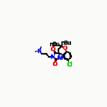 CCCCC1(CCCC)CC2(NC(=O)N(CCCN(C)C)C2=O)c2cc(Cl)ccc2O1